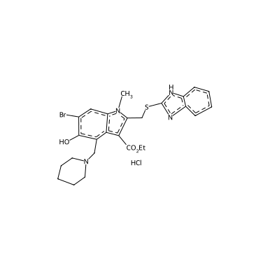 CCOC(=O)c1c(CSc2nc3ccccc3[nH]2)n(C)c2cc(Br)c(O)c(CN3CCCCC3)c12.Cl